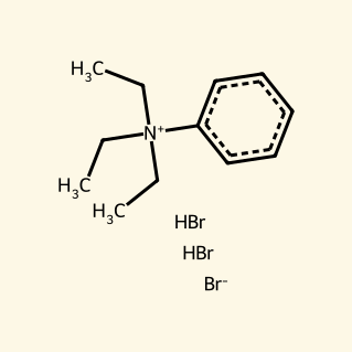 Br.Br.CC[N+](CC)(CC)c1ccccc1.[Br-]